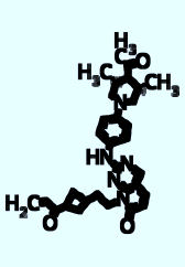 C=CC(=O)C1CC(CCn2c(=O)ccc3cnc(Nc4ccc(N5C[C@@H](C)C(C(C)=O)[C@@H](C)C5)cc4)nc32)C1